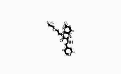 CCCOCCn1c(=O)c(NCC2CCOCC2)nc2ccc(Cl)nc21